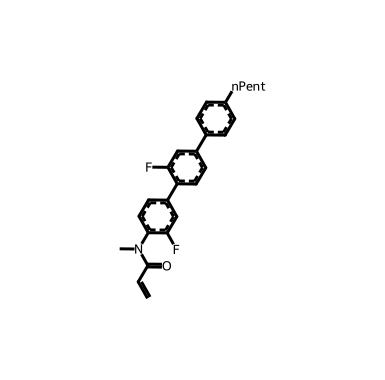 C=CC(=O)N(C)c1ccc(-c2ccc(-c3ccc(CCCCC)cc3)cc2F)cc1F